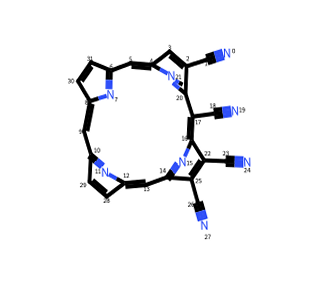 N#CC1=CC2=CC3=NC(=CC4=NC(=CC5=NC(=C(C#N)C1=N2)C(C#N)=C5C#N)C=C4)C=C3